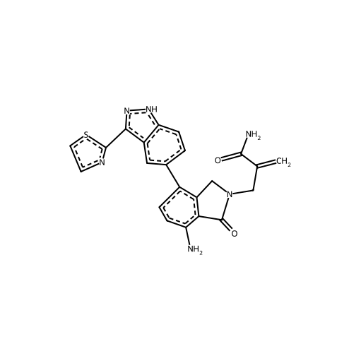 C=C(CN1Cc2c(-c3ccc4[nH]nc(-c5nccs5)c4c3)ccc(N)c2C1=O)C(N)=O